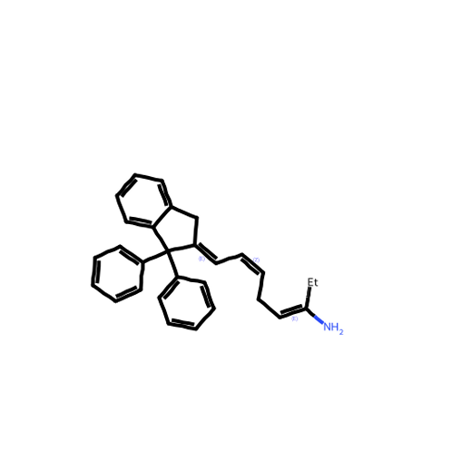 CC/C(N)=C\C/C=C\C=C1/Cc2ccccc2C1(c1ccccc1)c1ccccc1